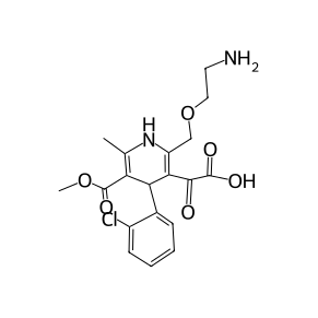 COC(=O)C1=C(C)NC(COCCN)=C(C(=O)C(=O)O)C1c1ccccc1Cl